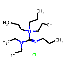 CCCN=C(N(CC)CC)[N+](CCC)(CCC)CCC.[Cl-]